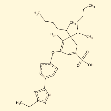 CCCCC(C)C1(C(C)CCCC)CC(S(=O)(=O)O)=CC(Oc2ccc(-c3nnn(CC)n3)cc2)=C1C